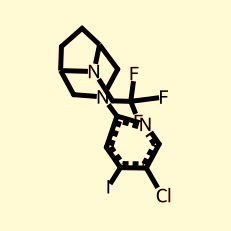 FC(F)(F)CN1C2CCC1CN(c1cc(I)c(Cl)cn1)C2